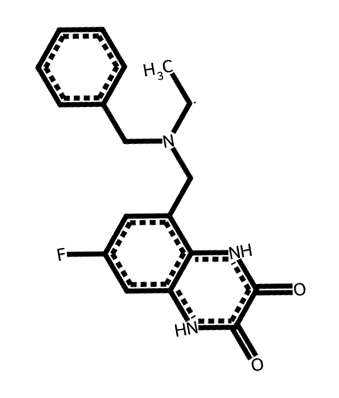 C[CH]N(Cc1ccccc1)Cc1cc(F)cc2[nH]c(=O)c(=O)[nH]c12